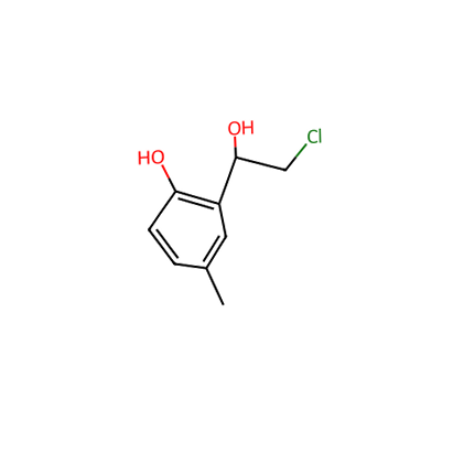 Cc1ccc(O)c(C(O)CCl)c1